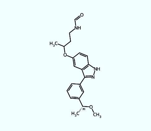 CO[C@H](C)c1cccc(-c2n[nH]c3ccc(OC(C)CCNC=O)cc23)c1